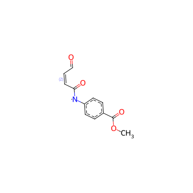 COC(=O)c1ccc([N]C(=O)/C=C\C=O)cc1